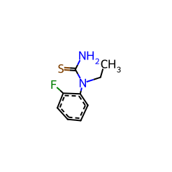 CCN(C(N)=S)c1ccccc1F